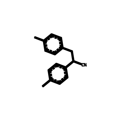 Cc1ccc(CC(C#N)c2ccc(C)cc2)cc1